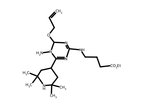 C=CCOC1N=C(NCCCC(=O)OCC)N=C(C2CC(C)(C)NC(C)(C)C2)N1N